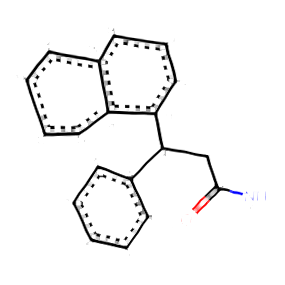 [NH]C(=O)CC(c1ccccc1)c1cccc2ccccc12